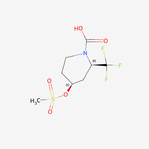 CS(=O)(=O)O[C@H]1CCN(C(=O)O)[C@@H](C(F)(F)F)C1